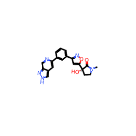 CN1CC[C@@](O)(c2cc(-c3cccc(-c4cc5c[nH]nc5cn4)c3)no2)C1=O